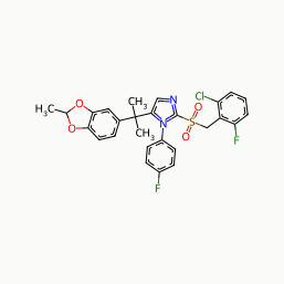 CC1Oc2ccc(C(C)(C)c3cnc(S(=O)(=O)Cc4c(F)cccc4Cl)n3-c3ccc(F)cc3)cc2O1